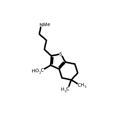 CNCCCc1sc2c(c1C(=O)O)CC(C)(C)CC2